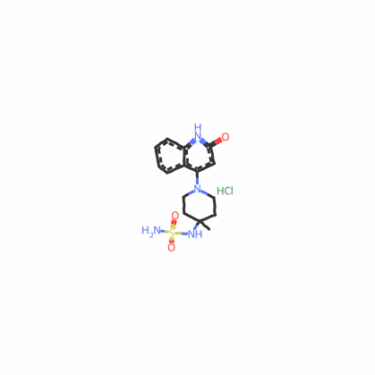 CC1(NS(N)(=O)=O)CCN(c2cc(=O)[nH]c3ccccc23)CC1.Cl